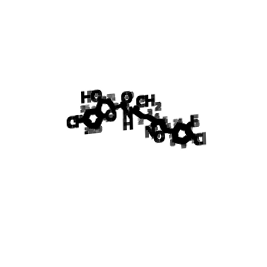 C=C(CCc1cc(-c2ccc(Cl)c(F)c2)on1)NC(=O)[C@@H]1C[C@@H](O)c2cc(Cl)ccc2O1